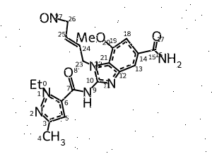 CCn1nc(C)cc1C(=O)Nc1nc2cc(C(N)=O)cc(OC)c2n1C/C=C/CN=O